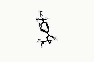 N#CC(CC1(C(F)F)CC1)c1ccc(C(F)(F)F)nc1